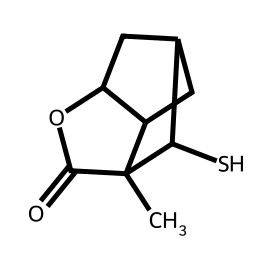 CC12C(=O)OC3CC(CC31)C2S